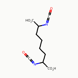 O=C=NC(CCCCC(N=C=O)C(=O)O)C(=O)O